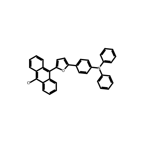 Clc1c2ccccc2c(-c2ccc(-c3ccc(N(c4ccccc4)c4ccccc4)cc3)o2)c2ccccc12